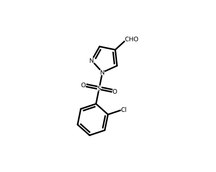 O=Cc1cnn(S(=O)(=O)c2ccccc2Cl)c1